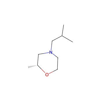 CC(C)CN1CCO[C@H](C)C1